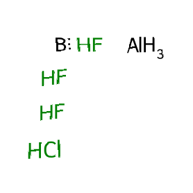 Cl.F.F.F.[AlH3].[B]